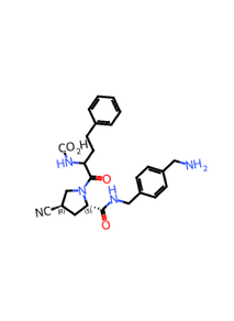 N#C[C@@H]1C[C@@H](C(=O)NCc2ccc(CN)cc2)N(C(=O)C(CCc2ccccc2)NC(=O)O)C1